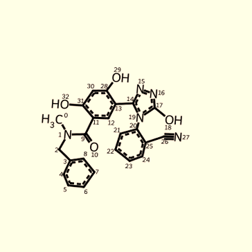 CN(Cc1ccccc1)C(=O)c1cc(-c2nnc(O)n2-c2ccccc2C#N)c(O)cc1O